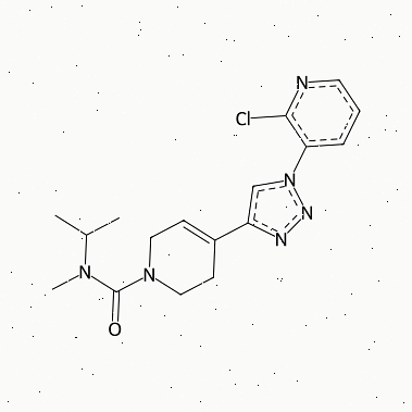 CC(C)N(C)C(=O)N1CC=C(c2cn(-c3cccnc3Cl)nn2)CC1